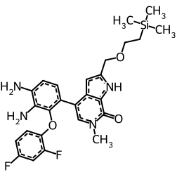 Cn1cc(-c2ccc(N)c(N)c2Oc2ccc(F)cc2F)c2cc(COCC[Si](C)(C)C)[nH]c2c1=O